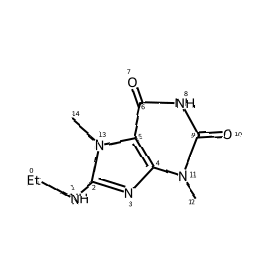 CCNc1nc2c(c(=O)[nH]c(=O)n2C)n1C